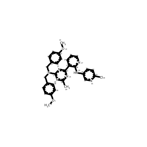 COc1ccc(CN(Cc2ccc(OC)cc2)c2nc(C)nc(-c3cccnc3Nc3ccc(Cl)nc3)n2)cc1